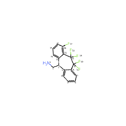 NCC1c2ccccc2C(F)(F)C(F)(F)c2c(F)cccc21